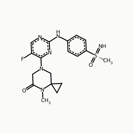 CN1C(=O)CN(c2nc(Nc3ccc([S@@](C)(=N)=O)cc3)ncc2F)CC12CC2